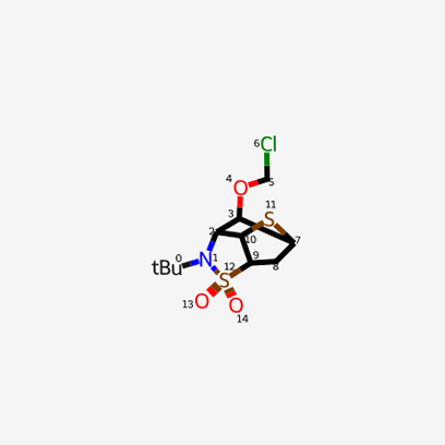 CC(C)(C)N1C2C(OCCl)C3CC(C2S3)S1(=O)=O